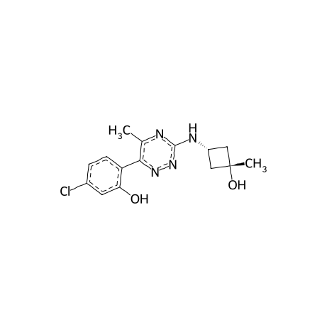 Cc1nc(N[C@H]2C[C@@](C)(O)C2)nnc1-c1ccc(Cl)cc1O